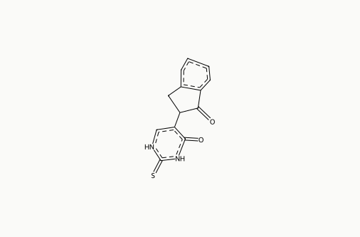 O=C1c2ccccc2CC1c1c[nH]c(=S)[nH]c1=O